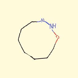 C1CCC[N]NOCCC1